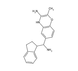 CC1=C(N)Nc2cc(C(N)C3CCc4ccccc43)ccc2O1